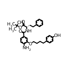 CC(C)(C)OC(=O)[C@H](CCc1ccccc1)NC(=O)c1ccc(N)c(OCCCCc2ccc(O)cc2)c1